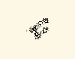 O[C@@H](CN1CCC(c2ccccn2)CC1)Cn1nc(-c2ccc(C(F)(F)F)c(SCCN3CCC(F)CC3)c2)c2c1CCNC2